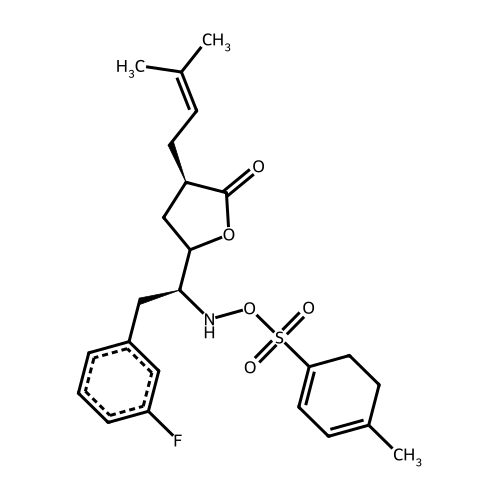 CC(C)=CC[C@@H]1CC([C@H](Cc2cccc(F)c2)NOS(=O)(=O)C2=CC=C(C)CC2)OC1=O